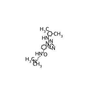 Cc1cc(C)cc(NC2=N[N+]3(c4cccc(C(=O)NCCCN(C)C)c4)C=CN=CC3=N2)c1